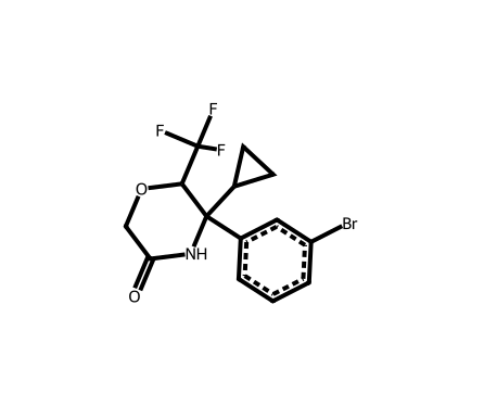 O=C1COC(C(F)(F)F)C(c2cccc(Br)c2)(C2CC2)N1